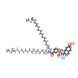 CCCCCCCCCCCCCCCCCCN(CCCCCCCCCCCCCCCCCC)C(=O)c1cccc(S(=O)(=O)Nc2ccc3ccc(O)cc3c2)c1